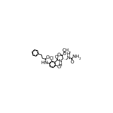 COC(=O)[C@H](CNC(N)=O)NC(=O)c1c(Cl)ccc(NC(=O)CCc2ccccc2)c1Cl